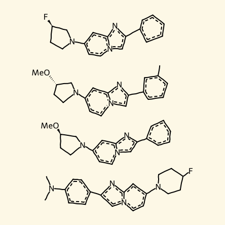 CN(C)c1ccc(-c2cn3ccc(N4CCC(F)CC4)cc3n2)cc1.CO[C@@H]1CCN(c2ccn3cc(-c4ccccc4)nc3c2)C1.CO[C@H]1CCN(c2ccn3cc(-c4cccc(C)c4)nc3c2)C1.F[C@@H]1CCN(c2ccn3cc(-c4ccccc4)nc3c2)C1